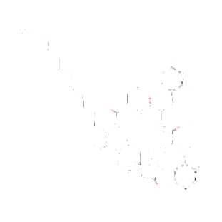 COCCOCCNCCCCC(NC(=O)C(CC(C)C)NC(=O)C(Cc1ccccc1)NC(=O)C(N)Cc1ccccc1)C(=O)N1CCC2(CC1)CNC(=O)C2